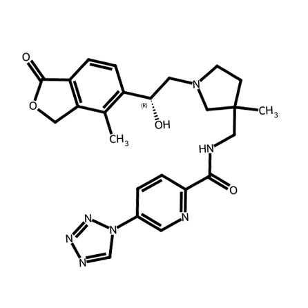 Cc1c([C@@H](O)CN2CCC(C)(CNC(=O)c3ccc(-n4cnnn4)cn3)C2)ccc2c1COC2=O